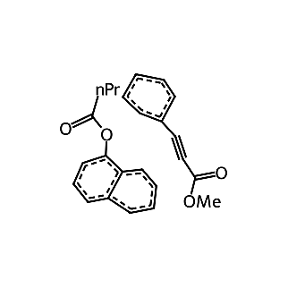 CCCC(=O)Oc1cccc2ccccc12.COC(=O)C#Cc1ccccc1